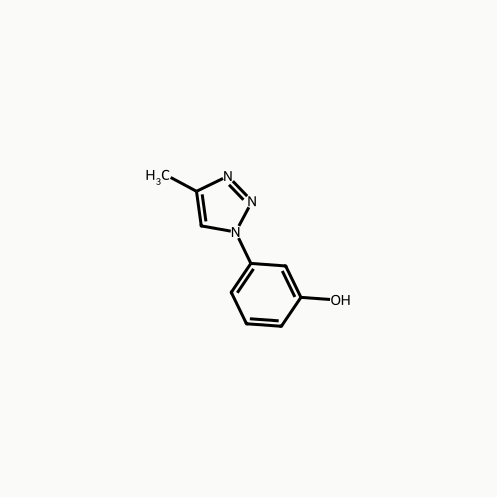 Cc1cn(-c2cccc(O)c2)nn1